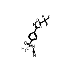 CS(=O)(=NC#N)c1ccc(-c2noc(C(F)(F)F)n2)cc1